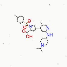 Cc1ccc(S(=O)(=O)n2cc(-c3cc(NC4CCN(C(C)C)CC4)ncc3C)cc2C(=O)O)cc1